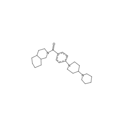 O=C(c1ccc(N2CCC(N3CCCCC3)CC2)cc1)N1CCC2CCCCC2C1